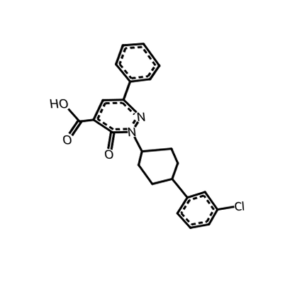 O=C(O)c1cc(-c2ccccc2)nn(C2CCC(c3cccc(Cl)c3)CC2)c1=O